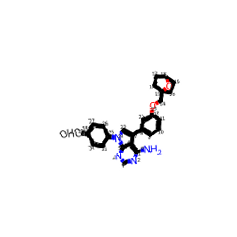 Nc1ncnc2c1c(-c1cccc(OCC34CCC(CC3)O4)c1)cn2C1CCC(C=O)CC1